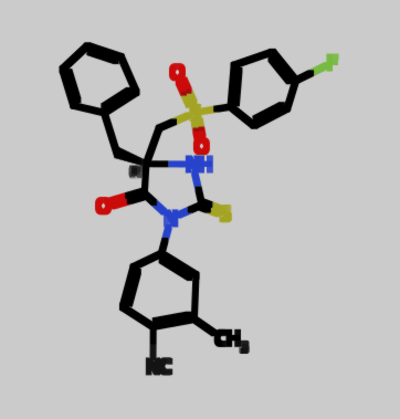 [C-]#[N+]c1ccc(N2C(=O)[C@](Cc3ccccc3)(CS(=O)(=O)c3ccc(F)cc3)NC2=S)cc1C